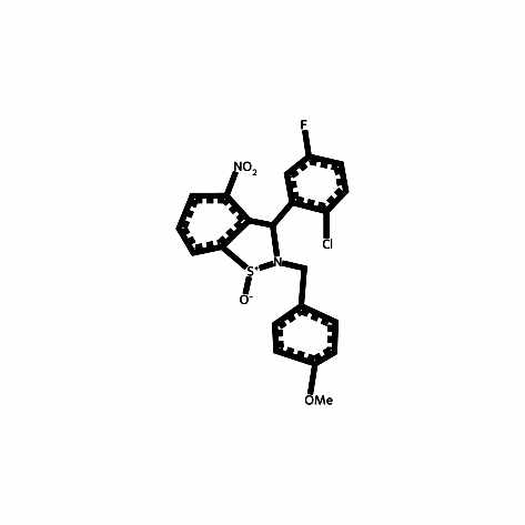 COc1ccc(CN2C(c3cc(F)ccc3Cl)c3c([N+](=O)[O-])cccc3[S+]2[O-])cc1